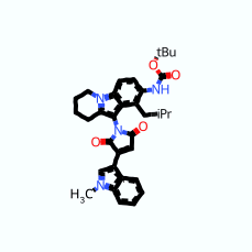 CC(C)Cc1c(NC(=O)OC(C)(C)C)ccc2c1c(N1C(=O)C=C(c3cn(C)c4ccccc34)C1=O)c1n2CCCC1